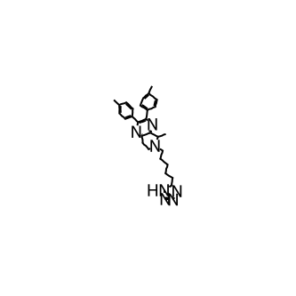 Cc1ccc(-c2nc3c(nc2-c2ccc(C)cc2)C(C)N(CCCCCc2nnn[nH]2)CC3)cc1